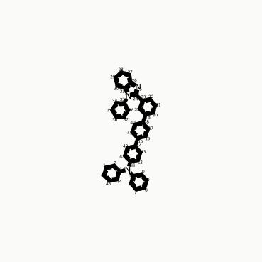 c1ccc(N(c2ccccc2)c2ccc(-c3ccc(-c4cccc(-c5nc6ccccc6n5-c5ccccc5)c4)cc3)cc2)cc1